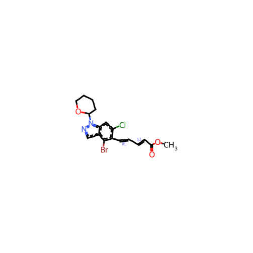 COC(=O)/C=C/C=C/c1c(Cl)cc2c(cnn2C2CCCCO2)c1Br